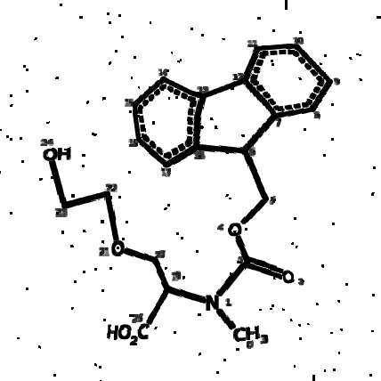 CN(C(=O)OCC1c2ccccc2-c2ccccc21)C(COCCO)C(=O)O